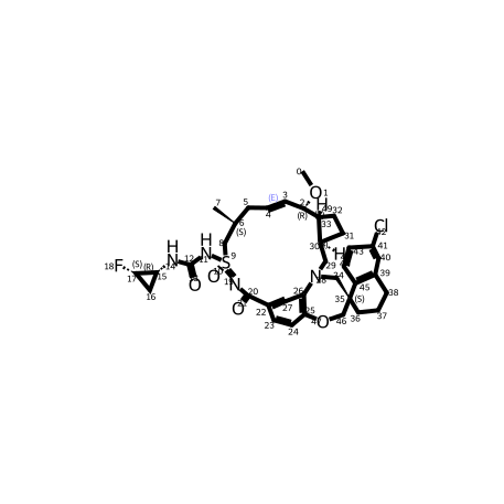 CO[C@H]1/C=C/C[C@H](C)CS(=O)(NC(=O)N[C@@H]2C[C@@H]2F)=NC(=O)c2ccc3c(c2)N(C[C@@H]2CC[C@H]21)C[C@@]1(CCCc2cc(Cl)ccc21)CO3